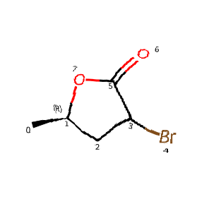 C[C@@H]1CC(Br)C(=O)O1